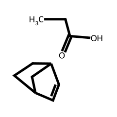 C1=CC2CCC1C2.CCC(=O)O